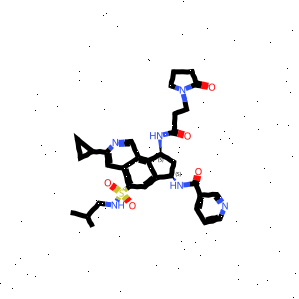 CC(C)CNS(=O)(=O)c1cc2c(c3cnc(C4CC4)cc13)[C@@H](NC(=O)CCN1CCCC1=O)C[C@@H]2NC(=O)c1cccnc1